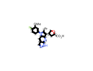 COc1cc(-n2c(C(C)C)c([C@H]3CO[C@H](C(=O)O)C3)c3nc4[nH]ncc4cc32)ccc1F